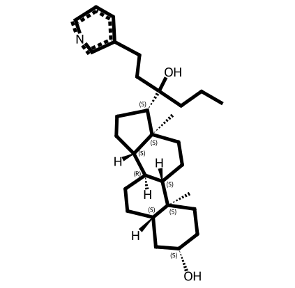 CCCC(O)(CCc1cccnc1)[C@H]1CC[C@H]2[C@@H]3CC[C@H]4C[C@@H](O)CC[C@]4(C)[C@H]3CC[C@]12C